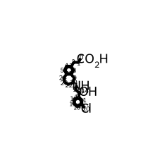 O=C(O)CCc1ccc2c(c1)CC(NC[C@H](O)c1cccc(Cl)c1)CCC2